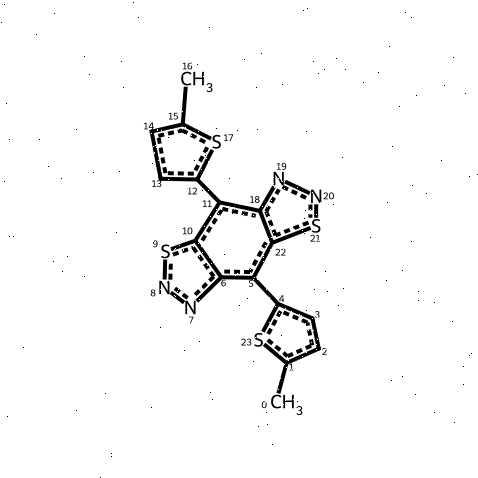 Cc1ccc(-c2c3nnsc3c(-c3ccc(C)s3)c3nnsc23)s1